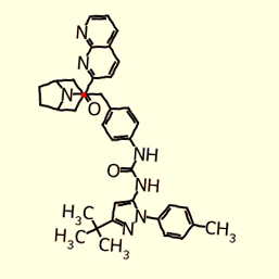 Cc1ccc(-n2nc(C(C)(C)C)cc2NC(=O)Nc2ccc(CC3CC4CCC(C3)N4C(=O)c3ccc4cccnc4n3)cc2)cc1